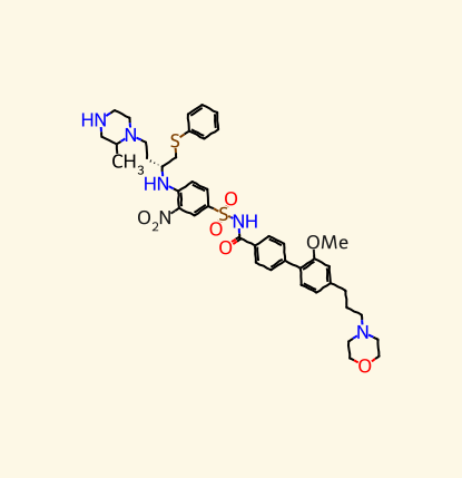 COc1cc(CCCN2CCOCC2)ccc1-c1ccc(C(=O)NS(=O)(=O)c2ccc(N[C@H](CCN3CCNCC3C)CSc3ccccc3)c([N+](=O)[O-])c2)cc1